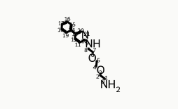 NCCOCCOCCNc1ccc(-c2ccccc2)cn1